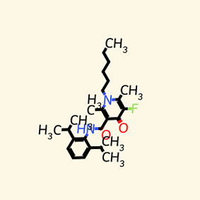 CCCCCCn1c(C)c(F)c(=O)c(C(=O)Nc2c(C(C)C)cccc2C(C)C)c1C